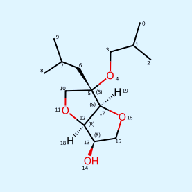 CC(C)CO[C@@]1(CC(C)C)CO[C@@H]2[C@H](O)CO[C@@H]21